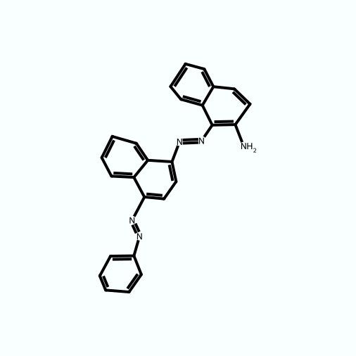 Nc1ccc2ccccc2c1N=Nc1ccc(N=Nc2ccccc2)c2ccccc12